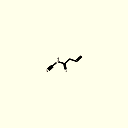 C=CCC(=O)NC#N